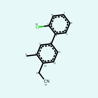 Cc1cc(-c2ccccc2Cl)ccc1CC#N